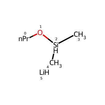 [CH2]CCO[SiH](C)C.[LiH]